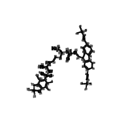 Cc1c(C)c(S(=O)(=O)NC(=N)NCCC[C@H](NC(=O)OCC2c3cc(C#C[Si](C)(C)C)ccc3-c3ccc(C#C[Si](C)(C)C)cc32)C(=O)O)c(C)c2c1OC(C)(C)C2